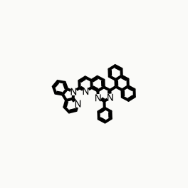 c1ccc(-c2nc(-c3c4ccccc4cc4ccccc34)c3ccc4ccc(-n5c6ccccc6c6cccnc65)nc4c3n2)cc1